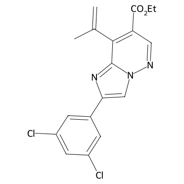 C=C(C)c1c(C(=O)OCC)cnn2cc(-c3cc(Cl)cc(Cl)c3)nc12